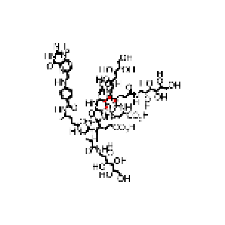 C[C@H](CCC(=O)N[C@@H](CCC(=O)NC[C@H](O)[C@@H](O)[C@H](O)[C@H](O)CO)C(=O)N[C@H](CCC(=O)O)C(=O)N[C@@H](CCC(=O)NC[C@H](O)C[C@H](O)[C@H](O)CO)C(=O)N[C@H](CCC(=O)O)C(=O)N[C@@H](CCC(=O)NC[C@H](O)[C@@H](O)[C@H](O)[C@H](O)CO)C(=O)N[C@H](CS)C(=O)O)NC(=O)c1ccc(NCc2cnc3nc(N)[nH]c(=O)c3n2)cc1